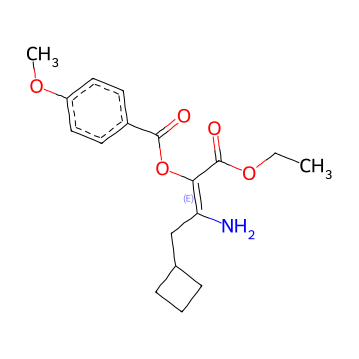 CCOC(=O)/C(OC(=O)c1ccc(OC)cc1)=C(\N)CC1CCC1